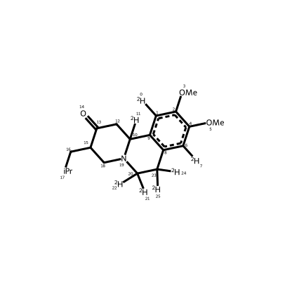 [2H]c1c(OC)c(OC)c([2H])c2c1C1([2H])CC(=O)C(CC(C)C)CN1C([2H])([2H])C2([2H])[2H]